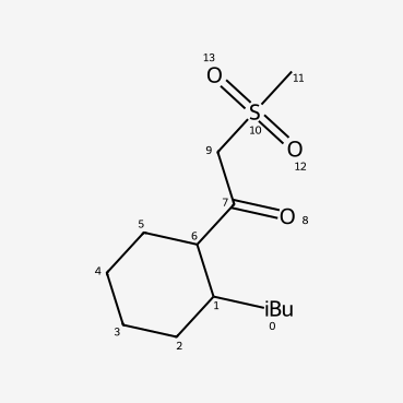 CCC(C)C1CCCCC1C(=O)CS(C)(=O)=O